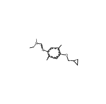 CCN(C)C=Nc1cc(C)c(OCC2CC2)cc1C